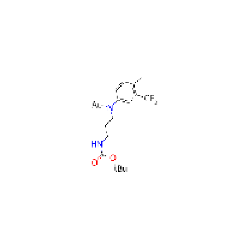 CC(=O)N(CCCNC(=O)OC(C)(C)C)c1ccc(C)c(C(F)(F)F)c1